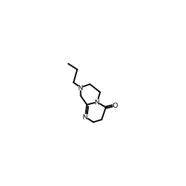 CCCN1CCN2C(=O)CCN=C2C1